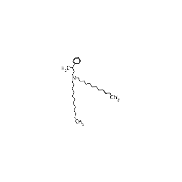 C=C(CCN(CCCCCCCCCCCC)CCCCCCCCCCCC)c1ccccc1